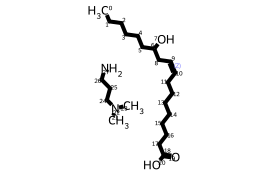 CCCCCCC(O)C/C=C\CCCCCCCC(=O)O.CN(C)CCCN